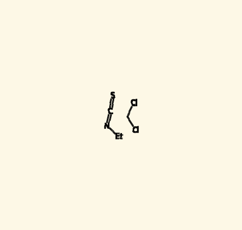 CCN=C=S.ClCCl